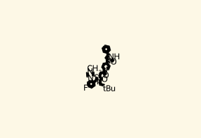 CN1CCN(c2cc(F)ccc2C2SC(CC(=O)N3CCC(n4cc(-c5ccccc5)[nH]c4=O)CC3)C(=O)N2CCC(C)(C)C)CC1